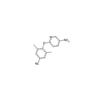 Cc1cc(C#N)cc(C)c1Oc1ccc([N+](=O)[O-])cn1